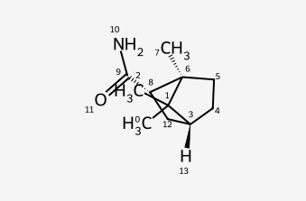 CC1(C)[C@@H]2CC[C@]1(C)[C@@H](C(N)=O)C2